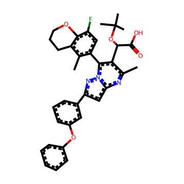 Cc1nc2cc(-c3cccc(Oc4ccccc4)c3)nn2c(-c2cc(F)c3c(c2C)CCCO3)c1C(OC(C)(C)C)C(=O)O